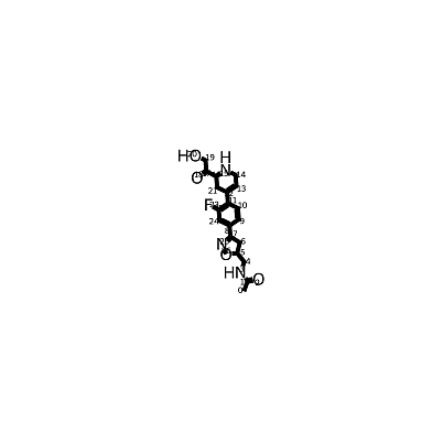 CC(=O)NCC1CC(c2ccc(C3=CCNC(C(=O)CO)C3)c(F)c2)=NO1